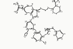 CC1COCCN1CCCn1nc(-c2ccc(Cl)c(-c3ccc(Cl)c(CNCc4ccccc4)c3)c2)c2c1CCN(C(N)=O)C2